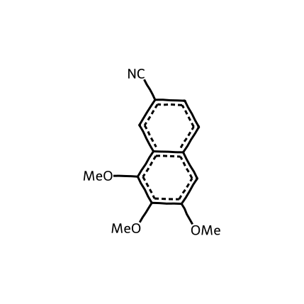 COc1cc2ccc(C#N)cc2c(OC)c1OC